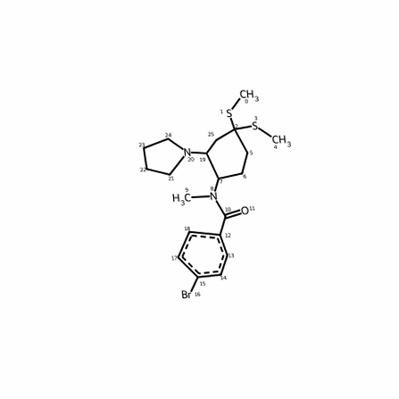 CSC1(SC)CCC(N(C)C(=O)c2ccc(Br)cc2)C(N2CCCC2)C1